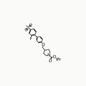 CC(C)OC(=O)N1CCC(COc2ccc(-c3ccc(S(C)(=O)=O)cc3F)cc2)CC1